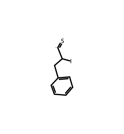 S=[C]C(I)Cc1ccccc1